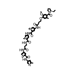 CC[C@@H]1CCCN1C(=O)c1cc(OC)c(OCCCC(=O)Nc2cc(C(=O)Nc3cc(C(=O)NCCC(=O)Nc4cc(C(=O)Nc5cc(C)n(C)c5)n(C)c4)n(C)c3)n(C)c2)cc1C